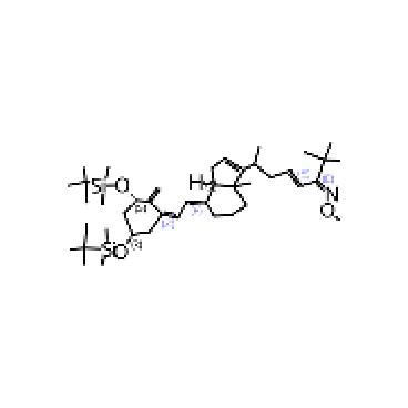 C=C1/C(=C\C=C2/CCCC3(C)C(C(C)C/C=C/C(=N\OC)C(C)(C)C)=CC[C@@H]23)C[C@@H](O[Si](C)(C)C(C)(C)C)C[C@@H]1O[Si](C)(C)C(C)(C)C